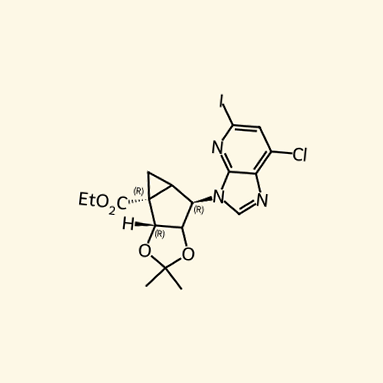 CCOC(=O)[C@]12CC1[C@@H](n1cnc3c(Cl)cc(I)nc31)C1OC(C)(C)O[C@@H]12